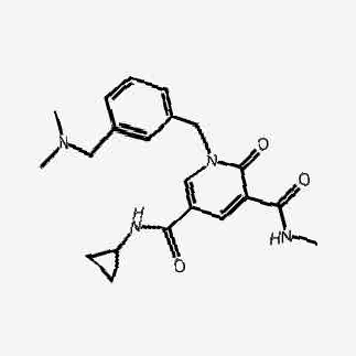 CNC(=O)c1cc(C(=O)NC2CC2)cn(Cc2cccc(CN(C)C)c2)c1=O